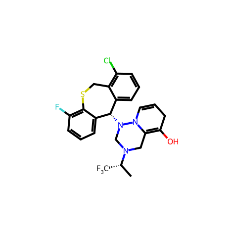 C[C@@H](N1CC2=C(O)CC=CN2N([C@H]2c3cccc(Cl)c3CSc3c(F)cccc32)C1)C(F)(F)F